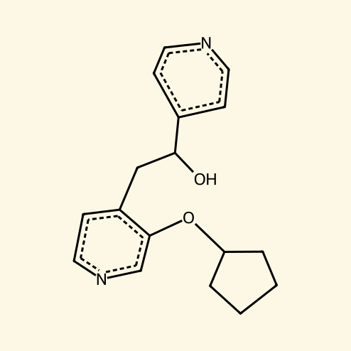 OC(Cc1ccncc1OC1CCCC1)c1ccncc1